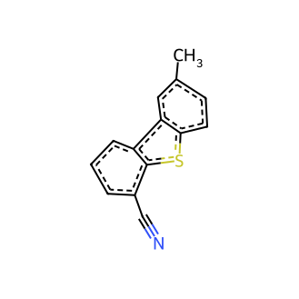 Cc1ccc2sc3c(C#N)cccc3c2c1